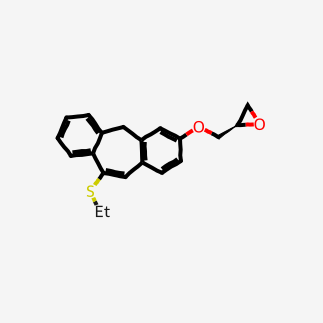 CCSC1=Cc2ccc(OC[C@H]3CO3)cc2Cc2ccccc21